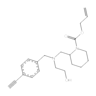 C#Cc1ccc(CN(CCO)CC2CCCCN2C(=O)OCC=C)cc1